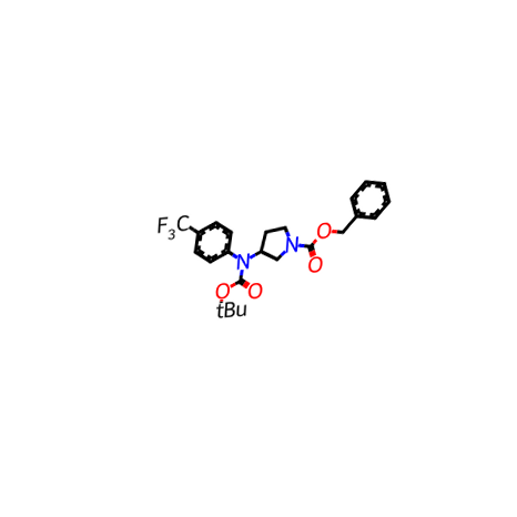 CC(C)(C)OC(=O)N(c1ccc(C(F)(F)F)cc1)C1CCN(C(=O)OCc2ccccc2)C1